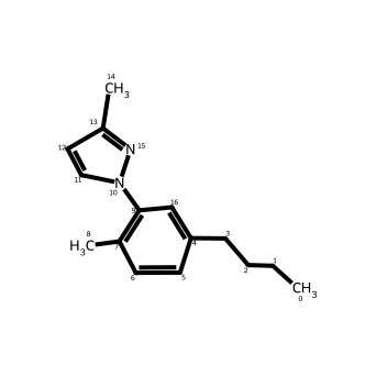 CCCCc1ccc(C)c(-n2ccc(C)n2)c1